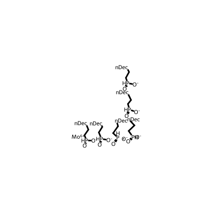 CCCCCCCCCCCC[PH](=O)[O-].CCCCCCCCCCCC[PH](=O)[O-].CCCCCCCCCCCC[PH](=O)[O-].CCCCCCCCCCCC[PH](=O)[O-].CCCCCCCCCCCC[PH](=O)[O-].CCCCCCCCCCCC[PH](=O)[O-].[Mo+6]